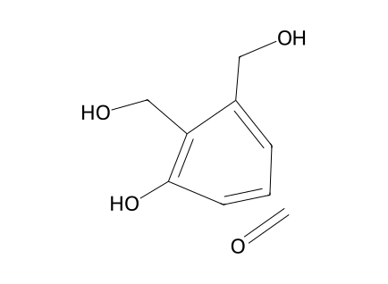 C=O.OCc1cccc(O)c1CO